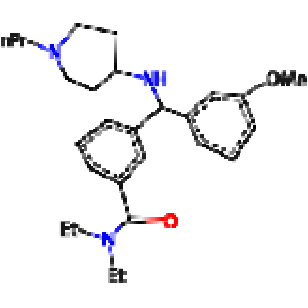 CCCN1CCC(NC(c2cccc(OC)c2)c2cccc(C(=O)N(CC)CC)c2)CC1